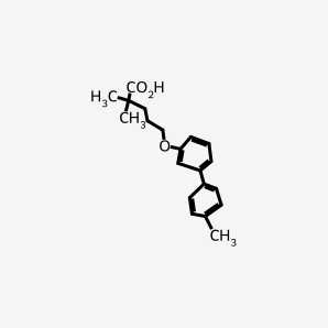 Cc1ccc(-c2cccc(OCCCC(C)(C)C(=O)O)c2)cc1